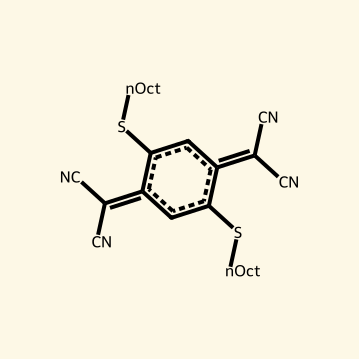 CCCCCCCCSc1cc(=C(C#N)C#N)c(SCCCCCCCC)cc1=C(C#N)C#N